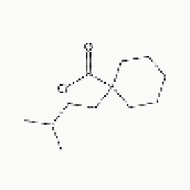 CC(C)CCC1(C(=O)Cl)CCCCC1